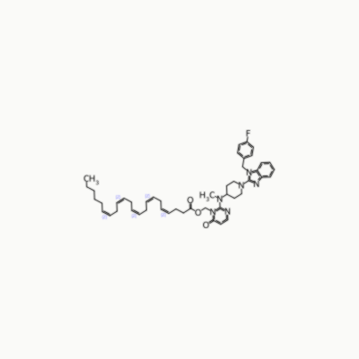 CCCCC/C=C\C/C=C\C/C=C\C/C=C\C/C=C\CCC(=O)OCn1c(N(C)C2CCN(c3nc4ccccc4n3Cc3ccc(F)cc3)CC2)nccc1=O